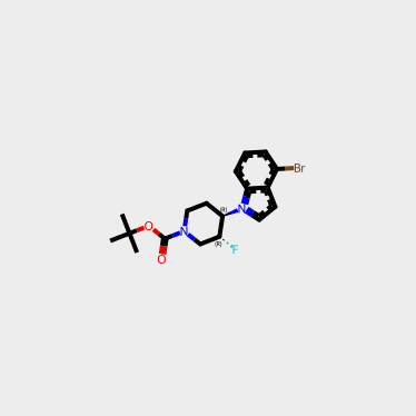 CC(C)(C)OC(=O)N1CC[C@@H](n2ccc3c(Br)cccc32)[C@H](F)C1